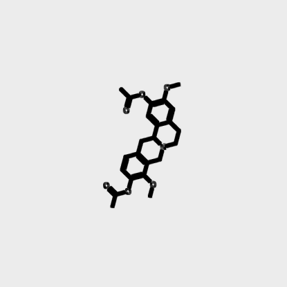 COc1cc2c(cc1OC(C)=O)C1Cc3ccc(OC(C)=O)c(OC)c3CN1CC2